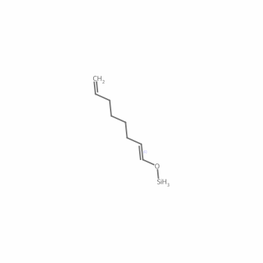 C=CCCCC/C=C/O[SiH3]